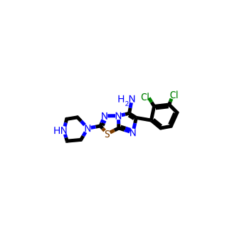 Nc1c(-c2cccc(Cl)c2Cl)nc2sc(N3CCNCC3)nn12